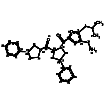 CC(C)Cc1oc(C(=O)N2C[C@@H](c3ccccc3)C[C@H]2C(=O)N2CC[C@H](c3ccccc3)C2)cc1CN